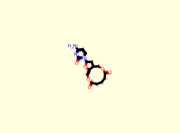 Nc1ccn(C2CC3COC(=O)CCCC(=O)OC=C3O2)c(=O)n1